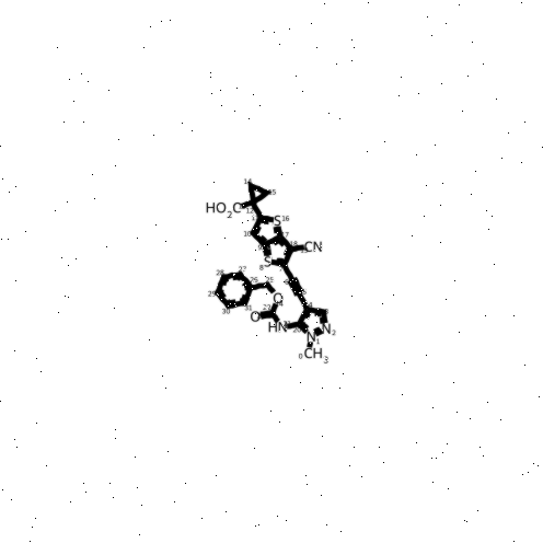 Cn1ncc(C#Cc2sc3cc(C4(C(=O)O)CC4)sc3c2C#N)c1NC(=O)OCc1ccccc1